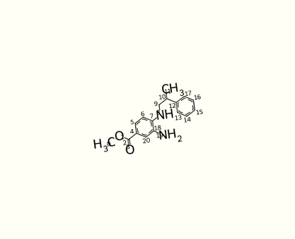 COC(=O)c1ccc(NCC(C)c2ccccc2)c(N)c1